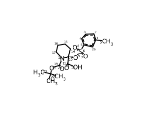 Cc1cccc(S(=O)(=O)O[C@]2(C(=O)O)CCCCN2C(=O)OC(C)(C)C)c1